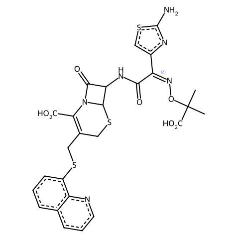 CC(C)(O/N=C(\C(=O)NC1C(=O)N2C(C(=O)O)=C(CSc3cccc4cccnc34)CSC12)c1csc(N)n1)C(=O)O